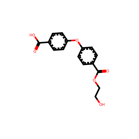 O=C(O)c1ccc(Oc2ccc(C(=O)OCCO)cc2)cc1